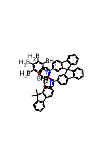 Bc1c(B)c(B)c(N(c2ccccc2)c2ccc3c(c2)C2(c4ccccc4-c4ccc(N(c5ccccc5)c5ccc6c(c5)C(C)(C)c5ccccc5-6)cc42)c2ccccc2-3)c(B)c1B